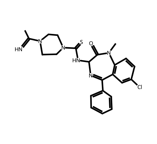 CC(=N)N1CCN(C(=S)NC2N=C(c3ccccc3)c3cc(Cl)ccc3N(C)C2=O)CC1